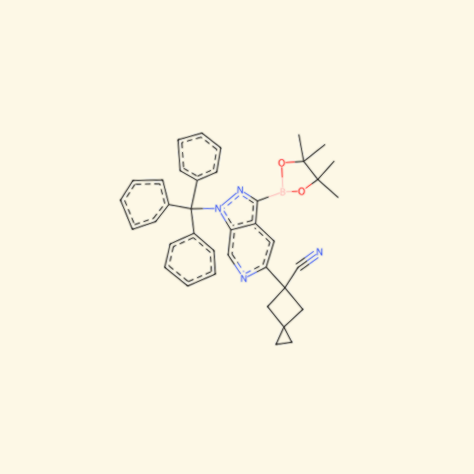 CC1(C)OB(c2nn(C(c3ccccc3)(c3ccccc3)c3ccccc3)c3cnc(C4(C#N)CC5(CC5)C4)cc23)OC1(C)C